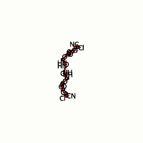 Cc1cc(S(=O)(=O)N2CC[C@@H](COc3ccnc(CNC(=O)NCCCCNC(=O)NCc4cc(OC[C@@H]5CCN(S(=O)(=O)c6ccc(O[C@@H]7CCc8c(C#N)cc(Cl)cc87)c(C)c6)C5)ccn4)c3)C2)ccc1O[C@@H]1CCc2c(C#N)cc(Cl)cc21